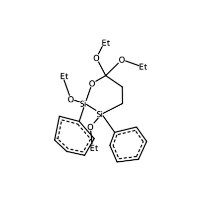 CCOC1(OCC)CC[Si](OCC)(c2ccccc2)[Si](OCC)(c2ccccc2)O1